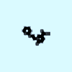 O=C(O)c1ccc(=O)n(CCOC2CCCCO2)c1